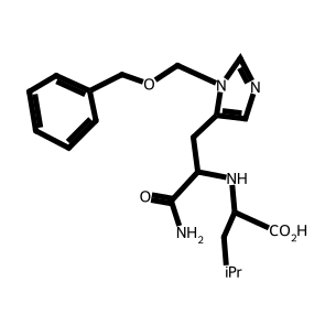 CC(C)CC(NC(Cc1cncn1COCc1ccccc1)C(N)=O)C(=O)O